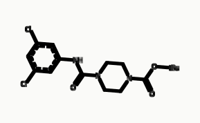 CC(C)(C)OC(=O)N1CCN(C(=O)Nc2cc(Cl)cc(Cl)c2)CC1